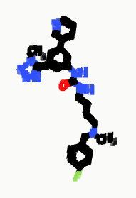 CN(CCCCNC(=O)Nc1cc(-c2cccnc2)cc(-c2nnnn2C)c1)Cc1ccc(F)cc1